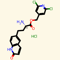 Cl.N[C@@H](CCc1ccc2[nH]c(=O)ccc2c1)C(=O)OCc1cc(Cl)nc(Cl)c1